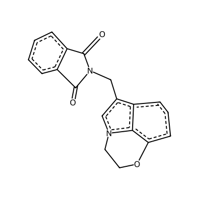 O=C1c2ccccc2C(=O)N1Cc1cn2c3c(cccc13)OCC2